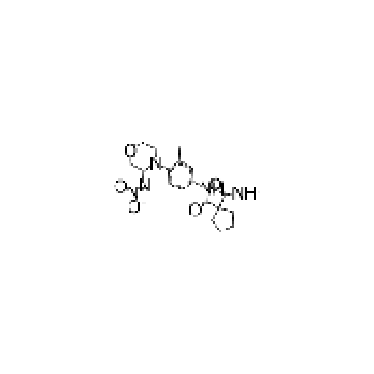 Cc1cc(NC(=O)C2(C([NH])=O)CCCC2)ccc1N1CCOCC1=N[N+](=O)[O-]